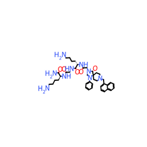 NCCCC[C@H](NC(=O)CNC(=O)[C@H](CCCCN)NC(=O)CN1CN(c2ccccc2)C2(CCN(Cc3cccc4ccccc34)CC2)C1=O)C(N)=O